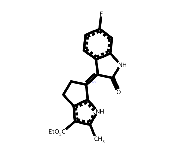 CCOC(=O)c1c(C)[nH]c2c1CC/C2=C1/C(=O)Nc2cc(F)ccc21